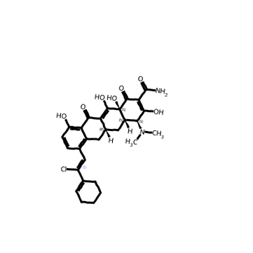 CN(C)[C@@H]1C(O)=C(C(N)=O)C(=O)[C@@]2(O)C(O)=C3C(=O)c4c(O)ccc(/C=C(\Cl)C5=CCCCC5)c4C[C@H]3C[C@@H]12